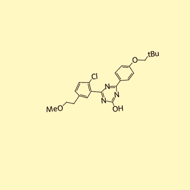 COCCc1ccc(Cl)c(-c2nc(O)nc(-c3ccc(OCC(C)(C)C)cc3)n2)c1